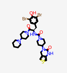 O=C(N[C@H](Cc1cc(Br)c(O)c(Br)c1)C(=O)N1CCC(N2CCCCC2)CC1)N1CCC(N2Cc3cscc3NC2=O)CC1